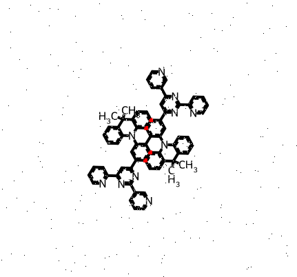 CC1(C)c2ccccc2N(c2cc(-c3cc(-c4ccccn4)nc(-c4cccnc4)n3)ccc2-c2ccc(-c3cc(-c4cccnc4)nc(-c4ccccn4)n3)cc2N2c3ccccc3C(C)(C)c3ccccc32)c2ccccc21